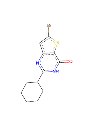 O=c1[nH]c(C2CCCCC2)nc2cc(Br)sc12